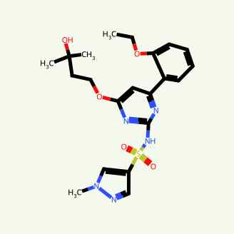 CCOc1ccccc1-c1cc(OCCC(C)(C)O)nc(NS(=O)(=O)c2cnn(C)c2)n1